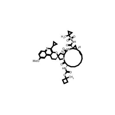 COc1ccc2nc(C3CC3)c3c(c2c1)CC[C@]1(C[C@H]2C(=O)N[C@]4(C(=O)NS(=O)(=O)C5(C)CC5)C[C@H]4/C=C\CCCCC[C@H](NC(=O)OC4(C)CCC4)C(=O)N2C1)O3